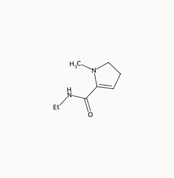 CCNC(=O)C1=CCCN1C